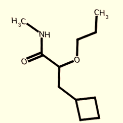 CCCOC(CC1CCC1)C(=O)NC